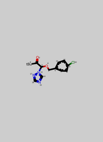 CC(C)(C)C(=O)C(OCc1ccc(Cl)cc1)n1cncn1